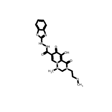 COCCN1CN(C)n2cc(C(=O)NNc3nc4ccccc4o3)c(=O)c(O)c2C1=O